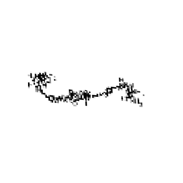 COC(=O)C(CCCC(NC(=O)OCCOCCOc1ccc(CCCCNC(=N)NC(=O)c2nc(Cl)c(N)nc2N)cc1)C(=O)OC)NC(=O)OCCOCCOc1ccc(CCCCNC(=N)NC(=O)c2nc(Cl)c(N)nc2N)cc1